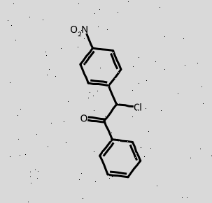 O=C(c1ccccc1)C(Cl)c1ccc([N+](=O)[O-])cc1